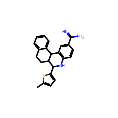 Cc1ccc(C2Nc3ccc(C(=N)N)cc3C3c4ccccc4CCC23)s1